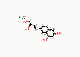 COCC(=O)/C=C/c1ccc2cc(O)cc(O)c2c1